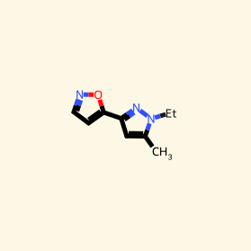 CCn1nc(-c2ccno2)cc1C